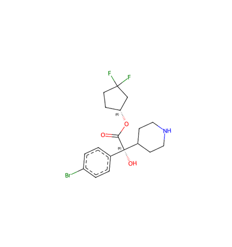 O=C(O[C@@H]1CCC(F)(F)C1)[C@](O)(c1ccc(Br)cc1)C1CCNCC1